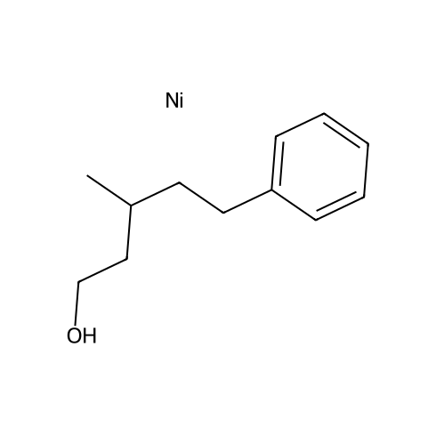 CC(CCO)CCc1ccccc1.[Ni]